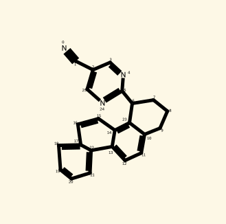 N#Cc1cnc(C2CCCc3ccc4c(ccc5ccccc54)c32)nc1